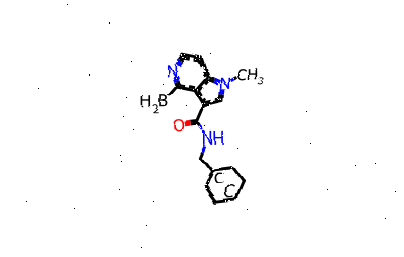 Bc1nccc2c1c(C(=O)NCC13CCC(CC1)CC3)cn2C